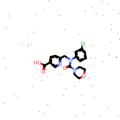 O=C(O)c1ccc(CN(C(=O)N2CCOCC2)c2cccc(Cl)c2)nc1